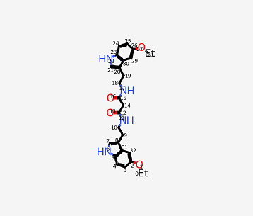 CCOc1ccc2[nH]cc(CCNC(=O)CC(=O)NCCc3c[nH]c4ccc(OCC)cc34)c2c1